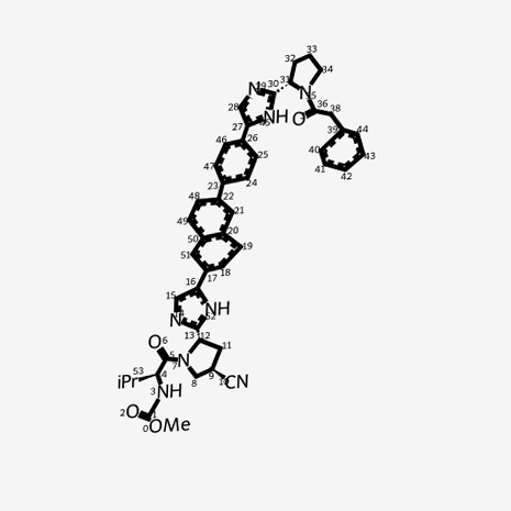 COC(=O)N[C@H](C(=O)N1C[C@H](C#N)C[C@H]1c1ncc(-c2ccc3cc(-c4ccc(-c5cnc([C@@H]6CCCN6C(=O)Cc6ccccc6)[nH]5)cc4)ccc3c2)[nH]1)C(C)C